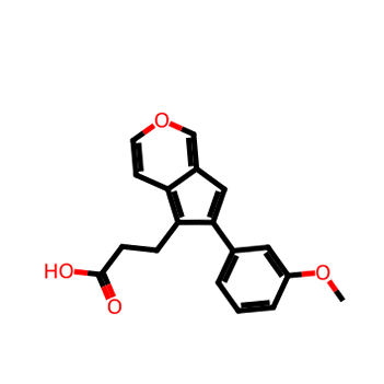 COc1cccc(-c2cc3coccc-3c2CCC(=O)O)c1